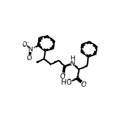 CC(CCC(=O)NC(Cc1ccccc1)C(=O)O)c1ccccc1[N+](=O)[O-]